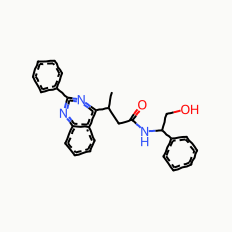 CC(CC(=O)NC(CO)c1ccccc1)c1nc(-c2ccccc2)nc2ccccc12